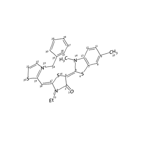 CCn1c(=O)/c(=C2\Sc3cc(C)ccc3N2C)s/c1=C\c1scc[n+]1Cc1ccccc1